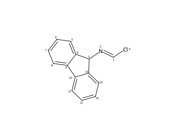 ClC=NC1c2ccccc2-c2ccccc21